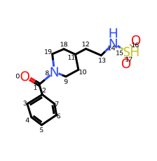 O=C(c1ccccc1)N1CCC(CCN[SH](=O)=O)CC1